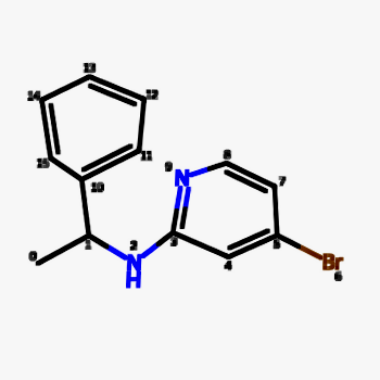 CC(Nc1cc(Br)ccn1)c1ccccc1